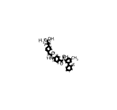 Cc1cc(-c2ccccc2F)cc(N(C)C(=O)c2ccc(NC(=O)Cc3ccc(C(F)(F)C(C)O)cc3)cc2)c1